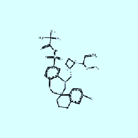 C=CC(OC)[C@@H]1CC[C@H]1CN1C[C@@]2(CCCc3cc(Cl)ccc32)COc2ccc(S(=O)(=O)NC(=O)C(C)(C)N)cc21